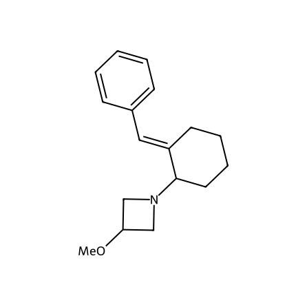 COC1CN(C2CCCCC2=Cc2ccccc2)C1